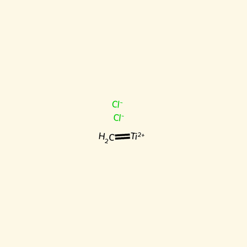 [CH2]=[Ti+2].[Cl-].[Cl-]